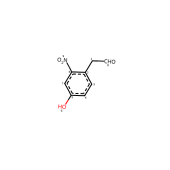 O=CCc1ccc(O)cc1[N+](=O)[O-]